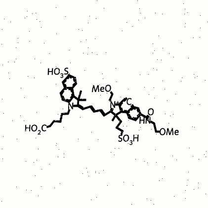 COCCNC(=O)c1ccc2c3c(ccc2c1)[N+](CCOC)=C(/C=C/C=C/C=C1/N(CCCCCC(=O)O)c2ccc4cc(S(=O)(=O)O)ccc4c2C1(C)C)C3(C)CCCS(=O)(=O)O